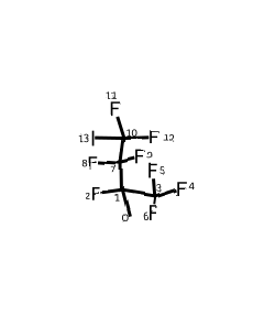 CC(F)(C(F)(F)F)C(F)(F)C(F)(F)I